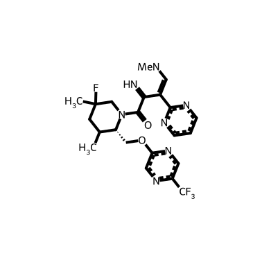 CN/C=C(\C(=N)C(=O)N1CC(C)(F)CC(C)[C@H]1COc1cnc(C(F)(F)F)cn1)c1ncccn1